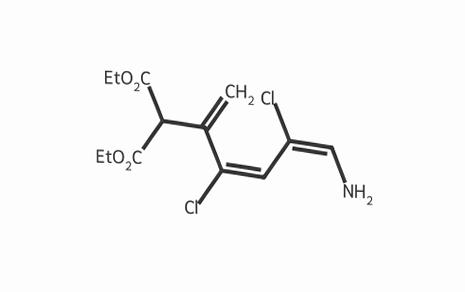 C=C(/C(Cl)=C\C(Cl)=C/N)C(C(=O)OCC)C(=O)OCC